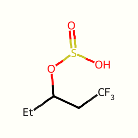 CCC(CC(F)(F)F)OS(=O)O